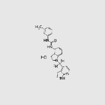 Cl.[2H]C([2H])(c1ccnc2[nH]ccc12)N1CCc2c(NC(=O)Nc3cccc(C)c3)cccc21